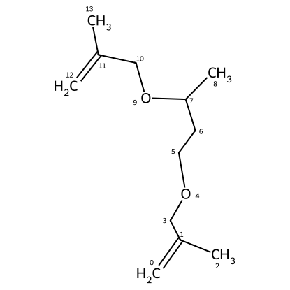 C=C(C)COCCC(C)OCC(=C)C